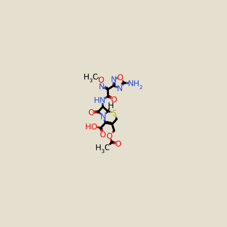 CON=C(C(=O)NC1C(=O)N2C(C(=O)O)=C(COC(C)=O)CS[C@@H]12)c1noc(N)n1